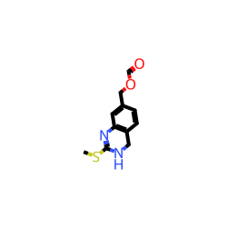 CSC1=Nc2cc(COC=O)ccc2CN1